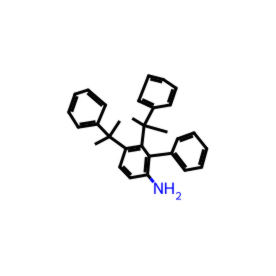 CC(C)(c1ccccc1)c1ccc(N)c(-c2ccccc2)c1C(C)(C)c1ccccc1